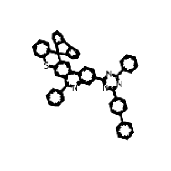 c1ccc(-c2ccc(-c3nc(-c4ccccc4)nc(-c4ccc5c(c4)nc(-c4ccccc4)c4cc6c(cc45)C4(c5ccccc5S6)c5ccccc5-c5ccccc54)n3)cc2)cc1